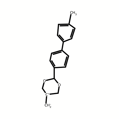 [CH2-][C+]1COC(c2ccc(-c3ccc(C)cc3)cc2)OC1